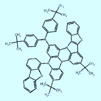 CC(C)(C)c1ccc(N(c2ccc(C(C)(C)C)cc2)c2cc3c4c(c2)-n2c5c(cc(C(C)(C)C)cc5c5sc6ccccc6c52)B4c2ccc(C(C)(C)C)cc2N3C2=c3sc4ccccc4c3=CCC2)cc1